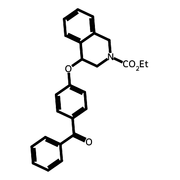 CCOC(=O)N1Cc2ccccc2C(Oc2ccc(C(=O)c3ccccc3)cc2)C1